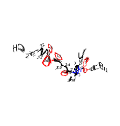 CC(C)(C)OC(=O)N1C[C@H]2CC[C@@H]1CN2C(=O)CCC(=O)OC(=O)CCC(=O)O